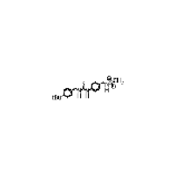 CC(C)(C)c1ccc(CNC(=S)Nc2ccc(CNS(C)(=O)=O)cc2)cc1